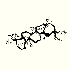 CC1(C)C=C2[C@H]3CC[C@@H]4[C@@]5(C)CCCC(C)(C)[C@@H]5CC[C@@]4(C)[C@]3(C)CC[C@@]2(C)CC1